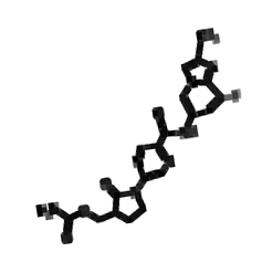 Cc1cn2cc(NC(=O)c3cnc(N4CCC(COC(N)=O)C4=O)cn3)cc(F)c2n1